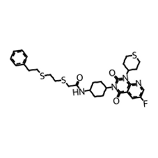 O=C(CSCCSCCc1ccccc1)NC1CCC(n2c(=O)c3cc(F)cnc3n(C3CCSCC3)c2=O)CC1